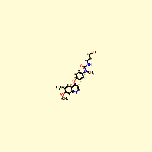 COc1cc2nccc(Oc3ccc(N(C)C(=O)NCCCS)cc3)c2cc1C